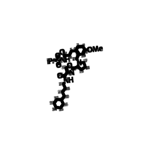 COc1ccc(CCC(=O)NS(=O)(=O)C(C)C)c(CN2CCCC2c2nc(C(=O)NCCCCC3CCCCC3)co2)c1